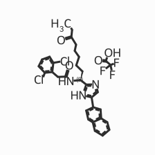 CCC(=O)CCCCC[C@H](NC(=O)Cc1c(Cl)cccc1Cl)c1ncc(-c2ccc3ccccc3c2)[nH]1.O=C(O)C(F)(F)F